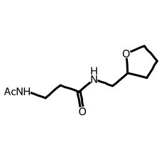 CC(=O)NCCC(=O)NCC1CCCO1